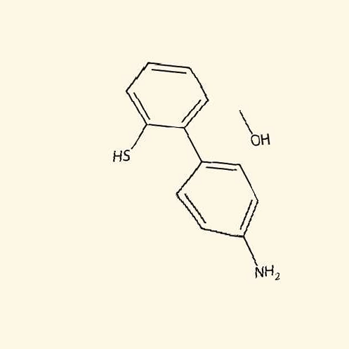 CO.Nc1ccc(-c2ccccc2S)cc1